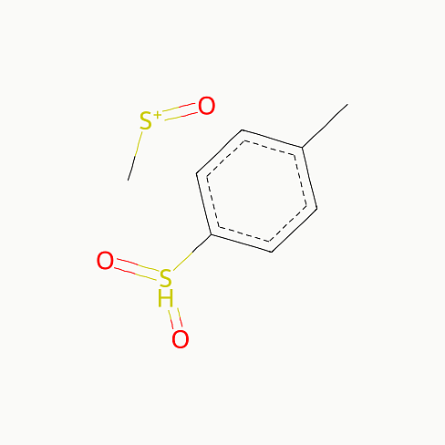 C[S+]=O.Cc1ccc([SH](=O)=O)cc1